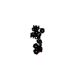 CC(C)(C)[Si](OCCN1CCN(C(=O)C[C@H](CSc2ccccc2)Nc2ccc(S(N)(=O)=O)cc2S(=O)(=O)C(F)(F)F)CC1)(c1ccccc1)c1ccccc1